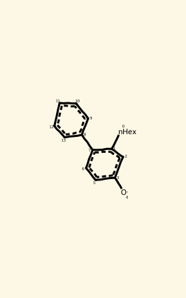 CCCCCCc1cc([O])ccc1-c1ccccc1